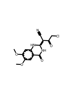 COc1cc2c(cc1OC)C(=O)N/C(=C(/C#N)C(=O)CCl)N2